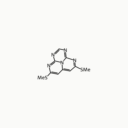 CSC1=CC2=CC(SC)=NC3=NC=NC(=N1)N23